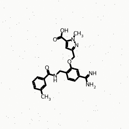 Cc1cccc(C(=O)NCc2ccc(C(=N)N)cc2OCc2cc(C(=O)O)n(C)n2)c1